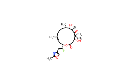 CC[C@H]1C(=O)C(C)(C)[C@@H](O)CC(=O)O[C@H](C(F)=Cc2coc(C)n2)C/C=C(/C)CCC[C@H](C)[C@@H]1O